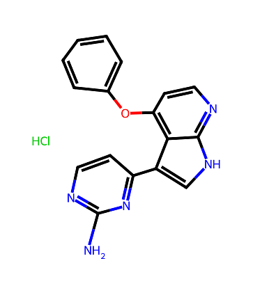 Cl.Nc1nccc(-c2c[nH]c3nccc(Oc4ccccc4)c23)n1